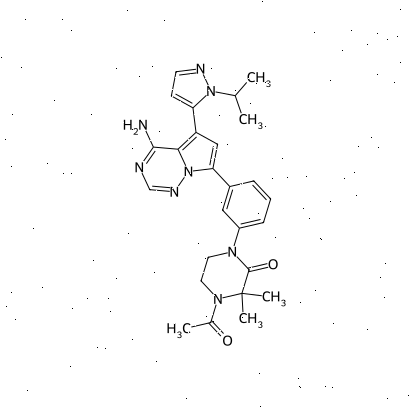 CC(=O)N1CCN(c2cccc(-c3cc(-c4ccnn4C(C)C)c4c(N)ncnn34)c2)C(=O)C1(C)C